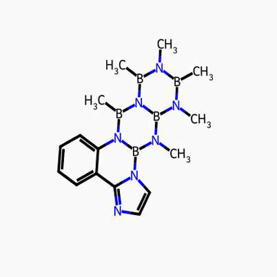 CB1N(C)B(C)N2B(N1C)N(C)B1N(B2C)c2ccccc2-c2nccn21